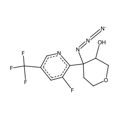 [N-]=[N+]=NC1(c2ncc(C(F)(F)F)cc2F)CCOCC1O